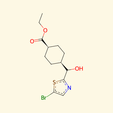 CCOC(=O)[C@H]1CC[C@@H](C(O)c2ncc(Br)s2)CC1